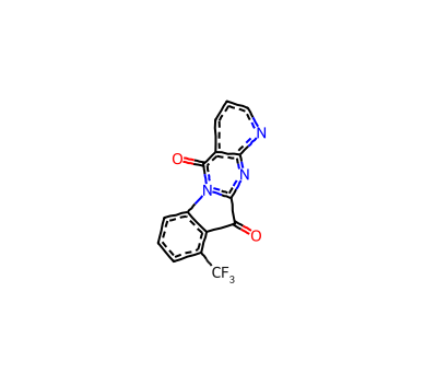 O=C1c2c(cccc2C(F)(F)F)-n2c1nc1ncccc1c2=O